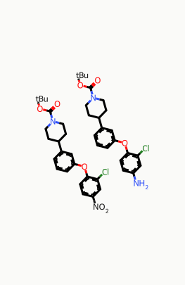 CC(C)(C)OC(=O)N1CCC(c2cccc(Oc3ccc(N)cc3Cl)c2)CC1.CC(C)(C)OC(=O)N1CCC(c2cccc(Oc3ccc([N+](=O)[O-])cc3Cl)c2)CC1